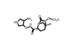 NC1CNCC1ONC(=O)[C@@H]1CC[C@@H]2CN1C(=O)N2OS(=O)(=O)O